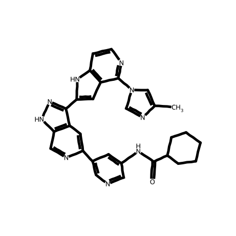 Cc1cn(-c2nccc3[nH]c(-c4n[nH]c5cnc(-c6cncc(NC(=O)C7CCCCC7)c6)cc45)cc23)cn1